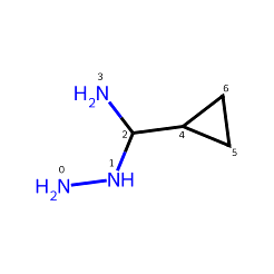 NNC(N)C1CC1